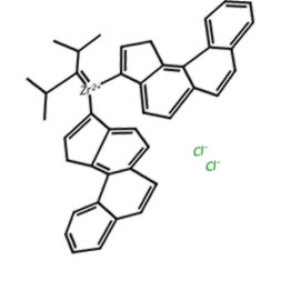 CC(C)[C](C(C)C)=[Zr+2]([C]1=CCc2c1ccc1ccc3ccccc3c21)[C]1=CCc2c1ccc1ccc3ccccc3c21.[Cl-].[Cl-]